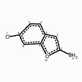 Bc1cc2ccc(Cl)cc2o1